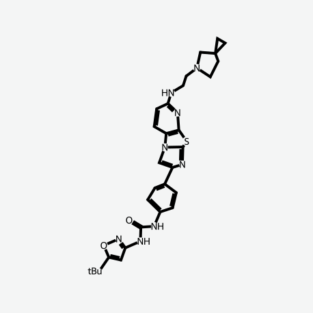 CC(C)(C)c1cc(NC(=O)Nc2ccc(-c3cn4c(n3)sc3nc(NCCN5CCC6(CC6)C5)ccc34)cc2)no1